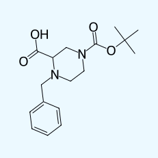 CC(C)(C)OC(=O)N1CCN(Cc2ccccc2)C(C(=O)O)C1